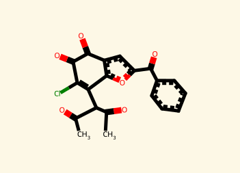 CC(=O)C(C(C)=O)C1=C(Cl)C(=O)C(=O)c2cc(C(=O)c3ccccc3)oc21